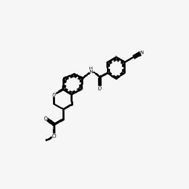 COC(=O)CC1COc2ccc(NC(=O)c3ccc(C#N)cc3)cc2C1